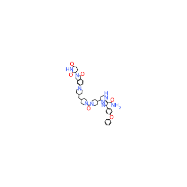 NC(=O)c1c(-c2ccc(Oc3ccccc3)cc2)nn2c1NCCC2C1CCN(C(=O)N2CCC(CC3CCN(c4ccc5c(c4)CN(C4CCC(=O)NC4=O)C5=O)CC3)CC2)CC1